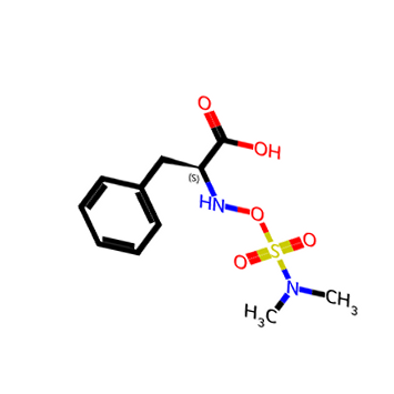 CN(C)S(=O)(=O)ON[C@@H](Cc1ccccc1)C(=O)O